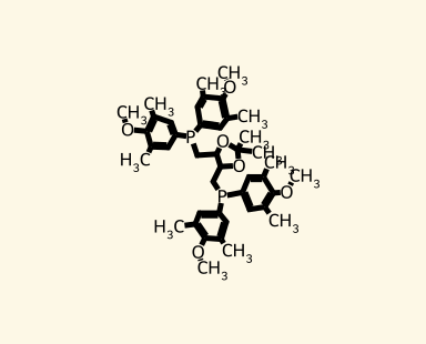 COc1c(C)cc(P(CC2OC(C)(C)OC2CP(c2cc(C)c(OC)c(C)c2)c2cc(C)c(OC)c(C)c2)c2cc(C)c(OC)c(C)c2)cc1C